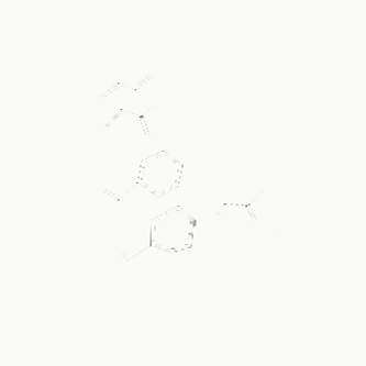 C=CC(=C)C.C=CC(=C)C.C=CC=C.C=Cc1ccccc1.C=Cc1ccccc1